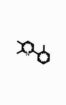 Cc1ccccc1-c1ccc(C)c(C)n1